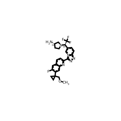 COCC1(c2cc3nc(-c4nnc5ccc([C@@H](N6CC[C@H](N)C6)C(F)(F)F)cn45)ccc3cc2F)CC1